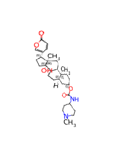 CN1CCC(NC(=O)O[C@H]2CC[C@]3(C)C4CC[C@]5(C)[C@@H](c6ccc(=O)oc6)CC[C@]5(O)C4CC[C@@H]3C2)CC1